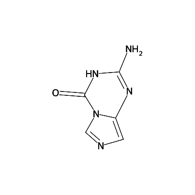 Nc1nc2cncn2c(=O)[nH]1